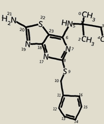 CC(C)(CO)Nc1nc(SCc2ccccc2)nc2nc(N)sc12